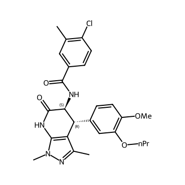 CCCOc1cc([C@@H]2c3c(C)nn(C)c3NC(=O)[C@H]2NC(=O)c2ccc(Cl)c(C)c2)ccc1OC